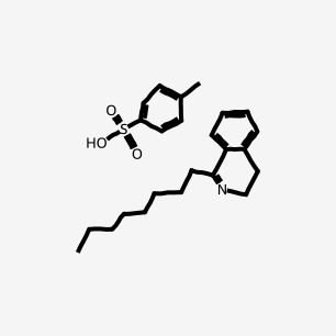 CCCCCCCCC1=NCCc2ccccc21.Cc1ccc(S(=O)(=O)O)cc1